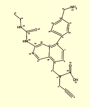 C#CCN(Cc1ccc(-c2ccc(CN)cc2)c2cc(NC(=O)NCC)ncc12)C(=O)O